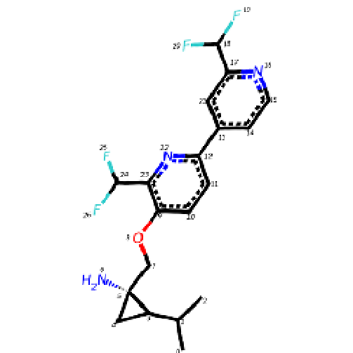 CC(C)C1C[C@@]1(N)COc1ccc(-c2ccnc(C(F)F)c2)nc1C(F)F